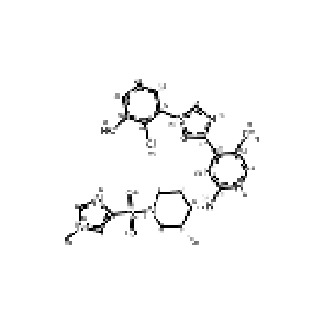 C[C@@H]1CN(S(=O)(=O)c2cn(C)cn2)CC[C@@H]1Nc1ncc(C(F)(F)F)c(-c2cn(-c3cccc(C#N)c3Cl)cn2)n1